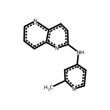 Cc1cc(Nc2ccc3ncccc3n2)ccn1